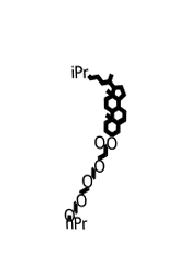 CCCOCCOCCOCCOCCC(=O)OC1CCC2(C)C(=CCC3C2CCC2(C)C(C(C)CCCC(C)C)CCC32)C1